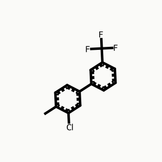 Cc1ccc(-c2cccc(C(F)(F)F)c2)cc1Cl